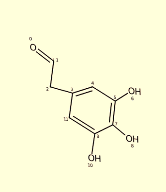 O=[C]Cc1cc(O)c(O)c(O)c1